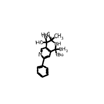 BC1(O)c2cnc(-c3ccccc3)cc2C(B)(C(C)(C)C)BC1(C)C